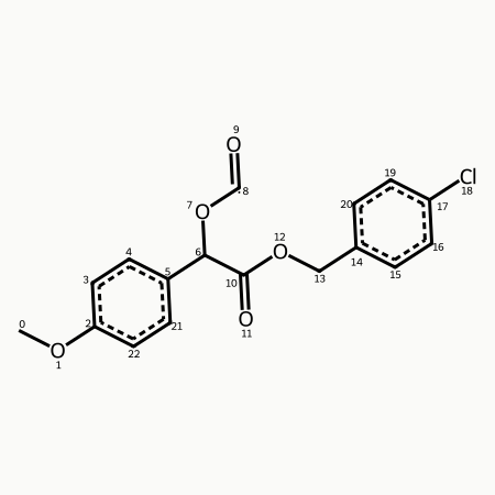 COc1ccc(C(O[C]=O)C(=O)OCc2ccc(Cl)cc2)cc1